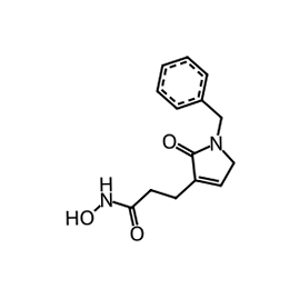 O=C(CCC1=CCN(Cc2ccccc2)C1=O)NO